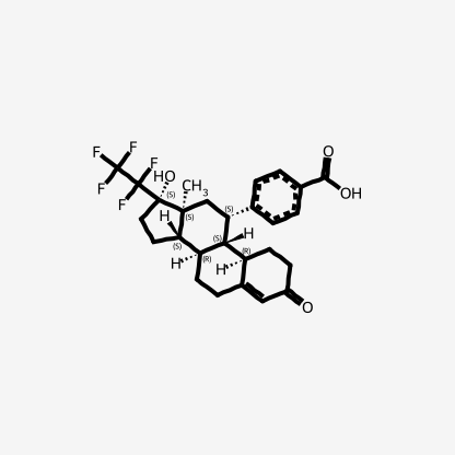 C[C@]12C[C@H](c3ccc(C(=O)O)cc3)[C@H]3[C@@H](CCC4=CC(=O)CC[C@@H]43)[C@@H]1CC[C@@]2(O)C(F)(F)C(F)(F)F